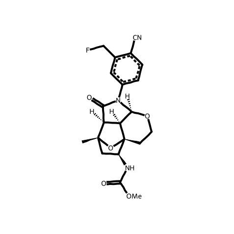 COC(=O)N[C@H]1C[C@@]2(C)O[C@@]13CCO[C@H]1[C@@H]3[C@@H]2C(=O)N1c1ccc(C#N)c(CF)c1